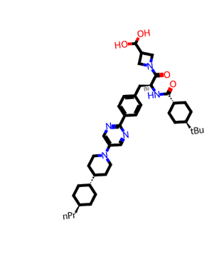 CCC[C@H]1CC[C@H](C2CCN(c3cnc(-c4ccc(C[C@H](NC(=O)[C@H]5CC[C@H](C(C)(C)C)CC5)C(=O)N5CC(C(O)O)C5)cc4)nc3)CC2)CC1